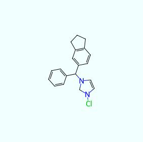 ClN1C=CN(C(c2ccccc2)c2ccc3c(c2)CCC3)C1